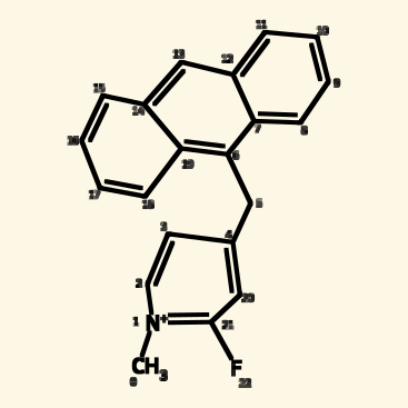 C[n+]1ccc(Cc2c3ccccc3cc3ccccc23)cc1F